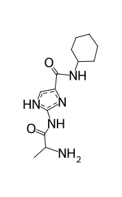 CC(N)C(=O)Nc1nc(C(=O)NC2CCCCC2)c[nH]1